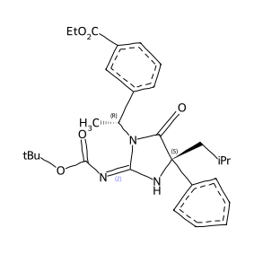 CCOC(=O)c1cccc([C@@H](C)N2C(=O)[C@](CC(C)C)(c3ccccc3)N/C2=N/C(=O)OC(C)(C)C)c1